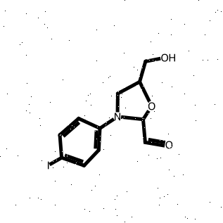 O=CC1OC(CO)CN1c1ccc(I)cc1